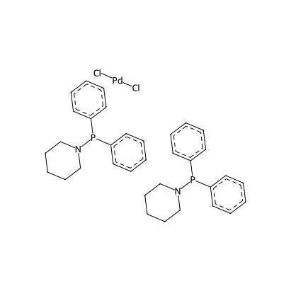 [Cl][Pd][Cl].c1ccc(P(c2ccccc2)N2CCCCC2)cc1.c1ccc(P(c2ccccc2)N2CCCCC2)cc1